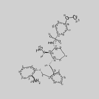 Nc1ccccc1CCc1ccccc1C[C@H]1CCC[C@@H](NS(=O)(=O)c2ccc(OC(F)(F)F)cc2)[C@@H]1SO